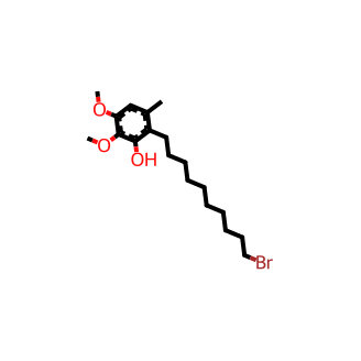 COc1cc(C)c(CCCCCCCCCCBr)c(O)c1OC